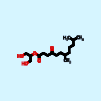 CC(C)CCCC(C)CCC(=O)CCC(=O)OC(CO)CO